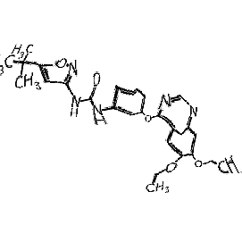 CCOc1cc2ncnc(Oc3cccc(NC(=O)Nc4cc(C(C)(C)C)on4)c3)c2cc1OCC